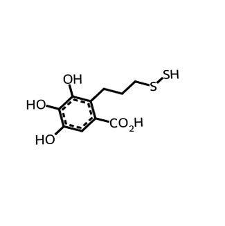 O=C(O)c1cc(O)c(O)c(O)c1CCCSS